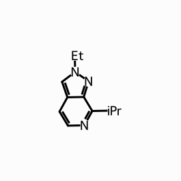 CCn1cc2ccnc(C(C)C)c2n1